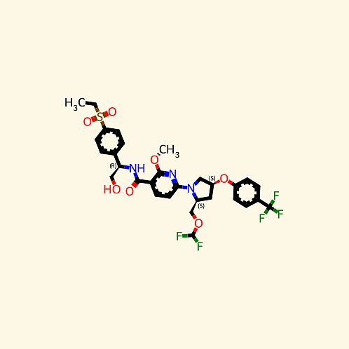 CCS(=O)(=O)c1ccc([C@H](CO)NC(=O)c2ccc(N3C[C@@H](Oc4ccc(C(F)(F)F)cc4)C[C@H]3COC(F)F)nc2OC)cc1